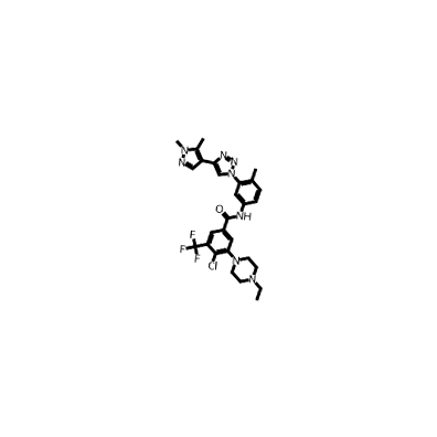 CCN1CCN(c2cc(C(=O)Nc3ccc(C)c(-n4cc(-c5cnn(C)c5C)nn4)c3)cc(C(F)(F)F)c2Cl)CC1